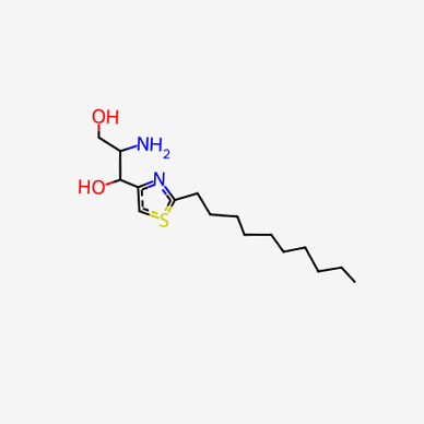 CCCCCCCCCCc1nc(C(O)C(N)CO)cs1